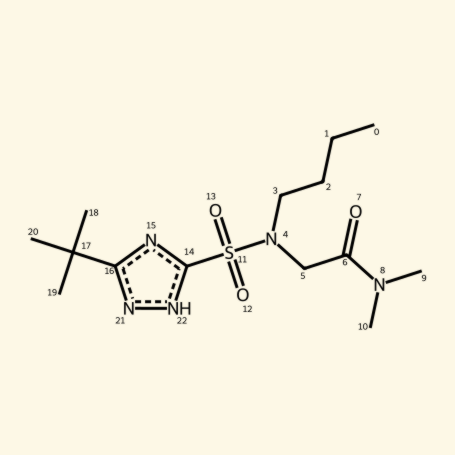 CCCCN(CC(=O)N(C)C)S(=O)(=O)c1nc(C(C)(C)C)n[nH]1